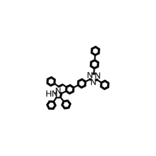 C1=C(c2ccccc2)N2NC(c3ccccc3)C(c3ccccc3)=C2c2ccc(-c3ccc(-c4nc(-c5ccccc5)nc(-c5ccc(-c6ccccc6)cc5)n4)cc3)cc21